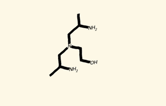 CC(N)CN(CCO)CC(C)N